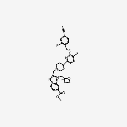 COC(=O)c1ccc2nc(CN3CC=C(c4ccc(F)c(SCc5ccc(C#N)cc5F)n4)CC3)n(C[C@@H]3CCO3)c2c1